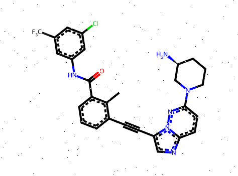 Cc1c(C#Cc2cnc3ccc(N4CCC[C@H](N)C4)nn23)cccc1C(=O)Nc1cc(Cl)cc(C(F)(F)F)c1